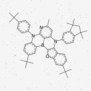 Cc1cc2c3c(n1)N(c1ccc(C(C)(C)C)cc1)c1ccc(C(C)(C)C)cc1B3c1oc3cc(C(C)(C)C)ccc3c1N2c1ccc2c(c1)C(C)(C)CC2(C)C